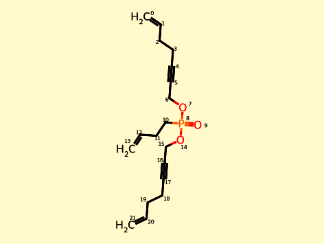 C=CCCC#CCOP(=O)(CCC=C)OCC#CCCC=C